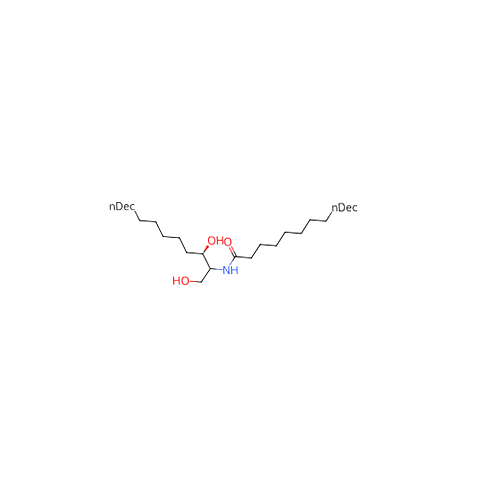 CCCCCCCCCCCCCCCCCC(=O)NC(CO)[C@H](O)CCCCCCCCCCCCCCC